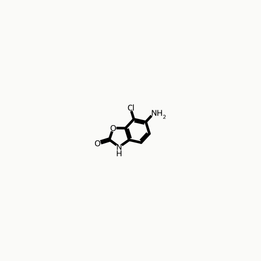 Nc1ccc2[nH]c(=O)oc2c1Cl